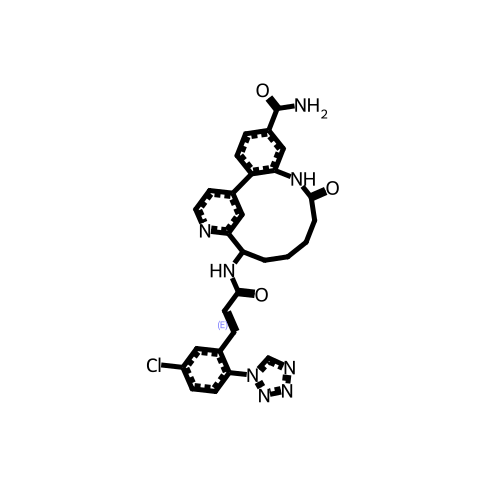 NC(=O)c1ccc2c(c1)NC(=O)CCCCC(NC(=O)/C=C/c1cc(Cl)ccc1-n1cnnn1)c1cc-2ccn1